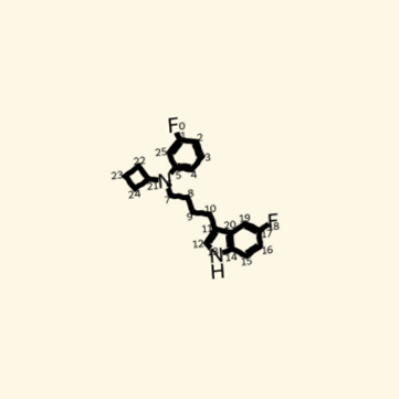 Fc1cccc(N(CCCCc2c[nH]c3ccc(F)cc23)C2CCC2)c1